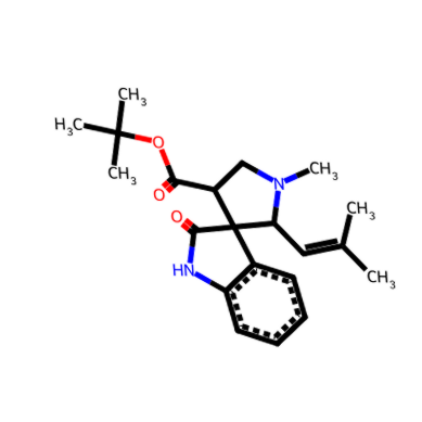 CC(C)=CC1N(C)CC(C(=O)OC(C)(C)C)C12C(=O)Nc1ccccc12